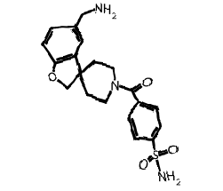 NCc1ccc2c(c1)C1(CCN(C(=O)c3ccc(S(N)(=O)=O)cc3)CC1)CO2